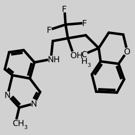 Cc1ncc2c(NCC(O)(CC3(C)CCOc4ccccc43)C(F)(F)F)cccc2n1